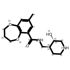 Cc1cc2c(c(C(=O)NC[C@@H]3CCNC[C@H]3O)c1)OCCCO2